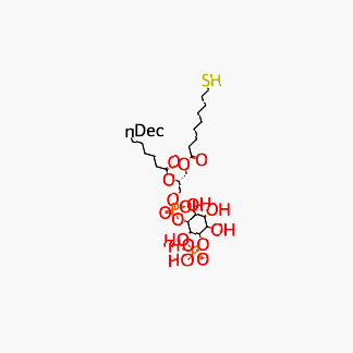 CCCCCCCCCCCCCCCC(=O)O[C@H](COC(=O)CCCCCCCCS)COP(=O)(O)OC1C(O)[C@@H](O)C(O)[C@@H](OP(=O)(O)O)[C@H]1O